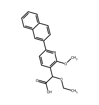 CCOC(C(=O)O)c1ccc(-c2ccc3ccccc3c2)nc1OC